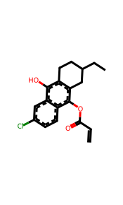 C=CC(=O)Oc1c2c(c(O)c3cc(Cl)ccc13)CCC(CC)C2